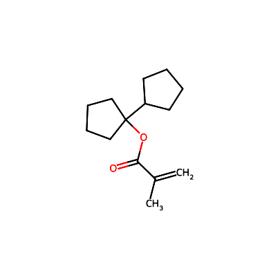 C=C(C)C(=O)OC1(C2CCCC2)CCCC1